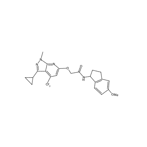 COc1ccc2c(c1)CCC2NC(=O)COc1cc(C(F)(F)F)c2c(C3CC3)nn(C)c2n1